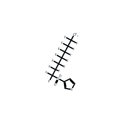 O=S(=O)(c1ccsc1)C(F)(F)C(F)(F)C(F)(F)C(F)(F)C(F)(F)C(F)(F)C(F)(F)C(F)(F)F